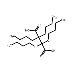 CCCCOC(OCCCC)(C(=O)O)C(CCCC)(CCCC)C(=O)O